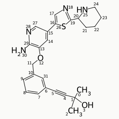 CC(C)(O)C#Cc1cccc(COc2cc(-c3cnc(C4CCCCN4)s3)cnc2N)c1